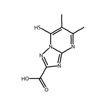 Cc1nc2nc(C(=O)O)nn2c(S)c1C